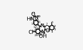 Cc1ccccc1CC1N=C(c2ccc3[nH]c(=O)n(C)c3c2)c2cc(Cl)cc(O)c2N(C)C1=O